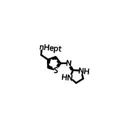 CCCCCCCCc1csc(N=C2NCCN2)c1